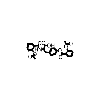 CC(=O)Oc1ccccc1C(=O)NC(Cc1ccc(OC(=O)c2ccccc2OC(C)=O)cc1)C(=O)O